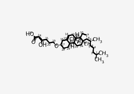 CC(C)CCC[C@@H](C)[C@H]1CC[C@H]2[C@@H]3CC=C4C[C@@H](OCCC/C(O)=C/C(=O)O)CC[C@]4(C)[C@H]3CC[C@]12C